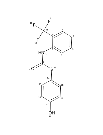 O=C(Nc1ccccc1C(F)(F)F)Sc1ccc(O)cc1